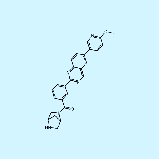 COc1ccc(-c2ccc3nc(-c4cccc(C(=O)N5CC6CC5CN6)c4)ncc3c2)cn1